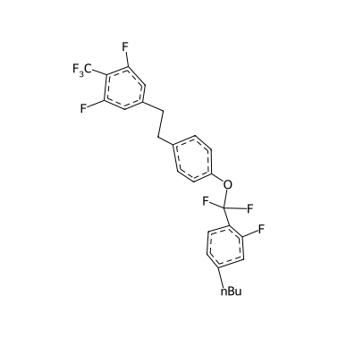 CCCCc1ccc(C(F)(F)Oc2ccc(CCc3cc(F)c(C(F)(F)F)c(F)c3)cc2)c(F)c1